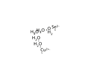 O.O.O.O.O.[Cu+2].[Se-2]